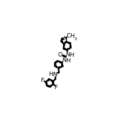 Cn1ccc2cc(NC(=O)Nc3cccc(CNCc4cc(F)ccc4F)c3)ccc21